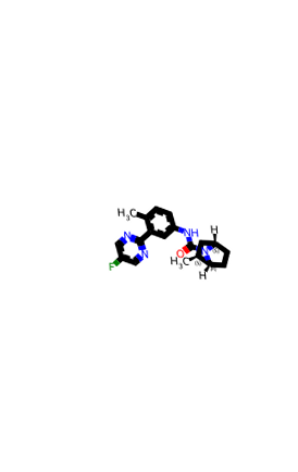 Cc1ccc(NC(=O)N2[C@H]3CC[C@@H]2[C@@H](C)C3)cc1-c1ncc(F)cn1